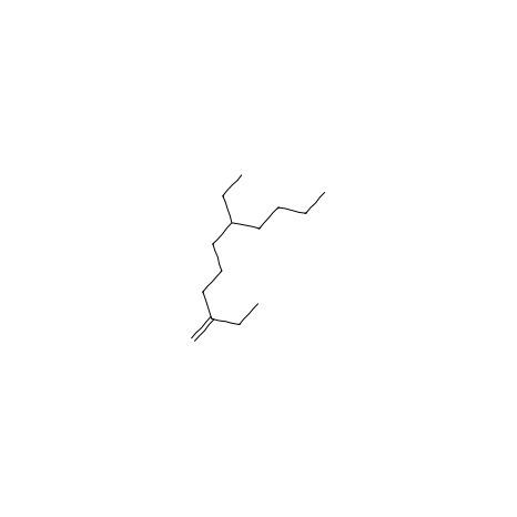 C=C(CC)CCCC(CC)CCCC